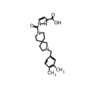 Cc1ccc(CN2CCC3(CCN(C(=O)n4ccc(C(=O)O)n4)CC3)C2)cc1C